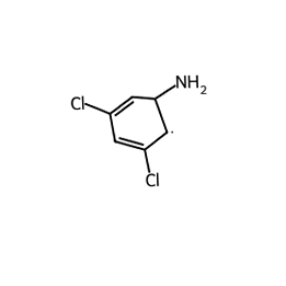 NC1[CH]C(Cl)=CC(Cl)=C1